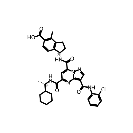 Cc1c(C(=O)O)ccc2c1CC[C@@H]2NC(=O)c1cc(C(=O)N[C@@H](C)C2CCCCC2)nc2c(C(=O)Nc3ccccc3Cl)cnn12